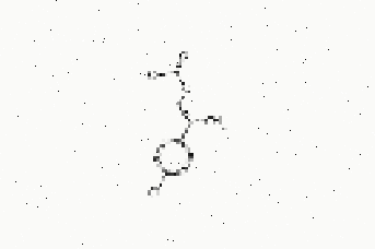 CC(=NOC(=O)Cl)c1ccc(Cl)cc1